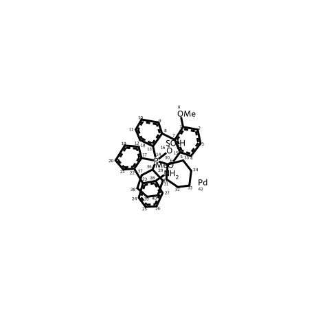 COc1cccc(OC)c1-c1ccccc1P(OS(=O)(=O)O)(c1ccccc1-c1ccccc1N)(C1CCCCC1)C1CCCCC1.[Pd]